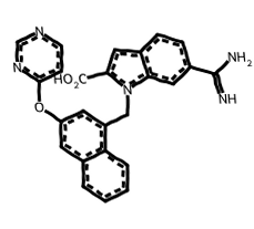 N=C(N)c1ccc2cc(C(=O)O)n(Cc3cc(Oc4ccncn4)cc4ccccc34)c2c1